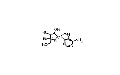 Nc1ncnc2c1ncn2[C@@H]1O[C@](Br)(CO)C(O)C1O